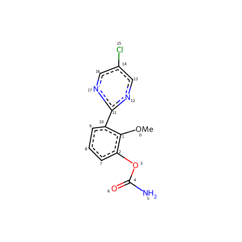 COc1c(OC(N)=O)cccc1-c1ncc(Cl)cn1